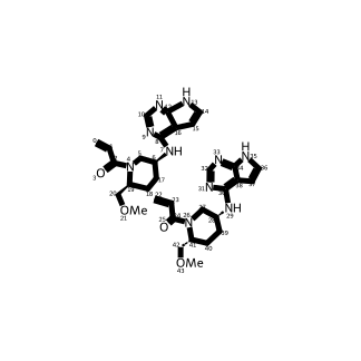 C=CC(=O)N1C[C@@H](Nc2ncnc3[nH]ccc23)CC[C@H]1COC.C=CC(=O)N1C[C@H](Nc2ncnc3[nH]ccc23)CC[C@@H]1COC